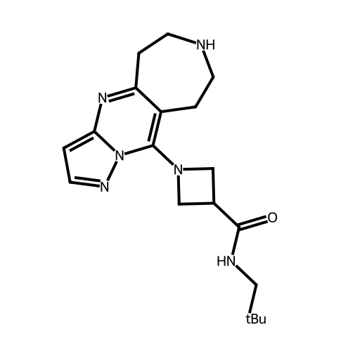 CC(C)(C)CNC(=O)C1CN(c2c3c(nc4ccnn24)CCNCC3)C1